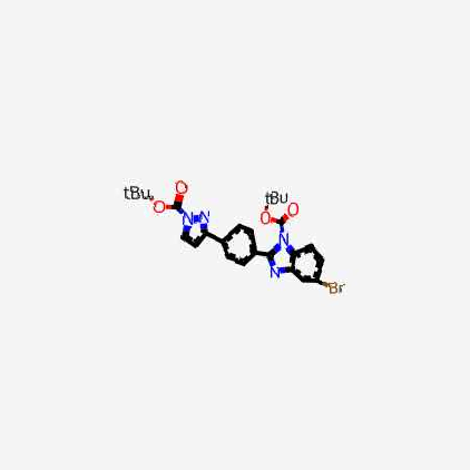 CC(C)(C)OC(=O)n1ccc(-c2ccc(-c3nc4cc(Br)ccc4n3C(=O)OC(C)(C)C)cc2)n1